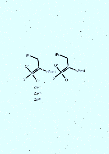 CCCCCS(CC(C)C)=P([O-])([O-])[S-].CCCCCS(CC(C)C)=P([O-])([O-])[S-].[Zn+2].[Zn+2].[Zn+2]